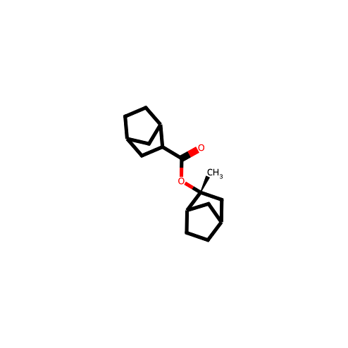 C[C@@]1(OC(=O)C2CC3CCC2C3)CC2CCC1C2